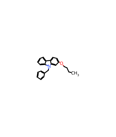 CCCCOc1ccc2c3ccccc3n(Cc3ccccc3)c2c1